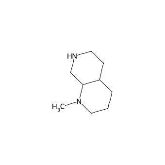 CN1CCCC2CCNCC21